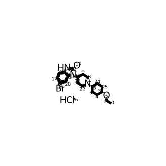 CCO[C@H]1CC[C@H](N2CCC(n3c(=O)[nH]c4ccc(Br)cc43)CC2)CC1.Cl